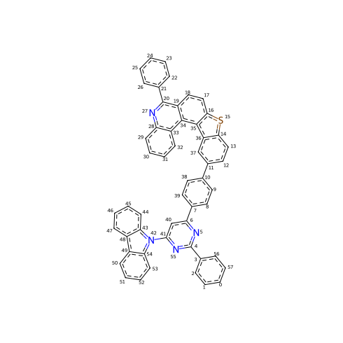 c1ccc(-c2nc(-c3ccc(-c4ccc5sc6ccc7c(-c8ccccc8)nc8ccccc8c7c6c5c4)cc3)cc(-n3c4ccccc4c4ccccc43)n2)cc1